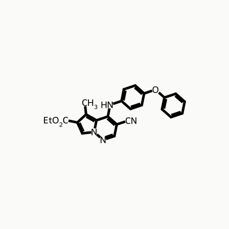 CCOC(=O)c1cn2ncc(C#N)c(Nc3ccc(Oc4ccccc4)cc3)c2c1C